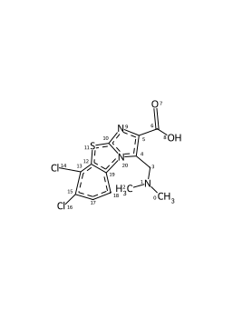 CN(C)Cc1c(C(=O)O)nc2sc3c(Cl)c(Cl)ccc3n12